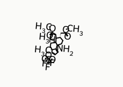 COC(=O)C[C@@H]1CC[C@@]2(N)C3=CC=C(OS(=O)(=O)C(F)(F)F)[C@@]3(C)CC[C@@H]2[C@@]1(C)CC(=O)OC